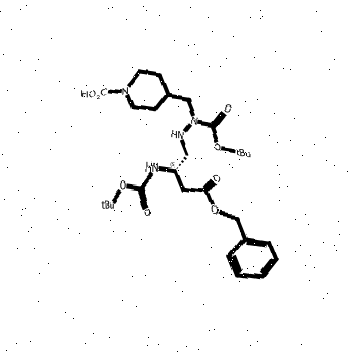 CC(C)(C)OC(=O)N[C@H](CNN(CC1CCN(C(=O)O)CC1)C(=O)OC(C)(C)C)CC(=O)OCc1ccccc1